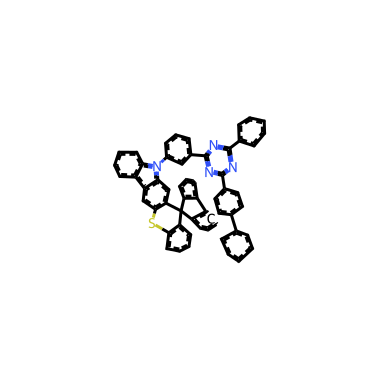 c1ccc(-c2ccc(-c3nc(-c4ccccc4)nc(-c4cccc(-n5c6ccccc6c6cc7c(cc65)C5(c6ccccc6S7)c6ccccc6-c6ccccc65)c4)n3)cc2)cc1